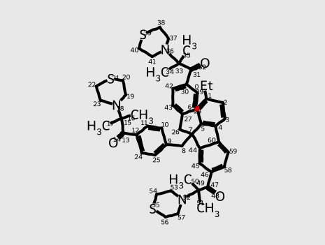 CCc1ccc2c(c1)C(Cc1ccc(C(=O)C(C)(C)N3CCSCC3)cc1)(Cc1ccc(C(=O)C(C)(C)N3CCSCC3)cc1)c1cc(C(=O)C(C)(C)N3CCSCC3)ccc1-2